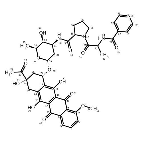 COc1cccc2c1C(=O)c1c(O)c3c(c(O)c1C2=O)C[C@@](O)(C(C)=O)C[C@@H]3O[C@H]1C[C@H](NC(=O)C2CCCN2C(=O)C(C)NC(=O)c2ccncc2)[C@H](O)[C@H](C)O1